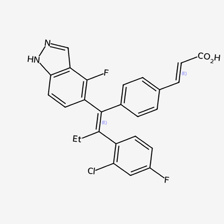 CC/C(=C(/c1ccc(/C=C/C(=O)O)cc1)c1ccc2[nH]ncc2c1F)c1ccc(F)cc1Cl